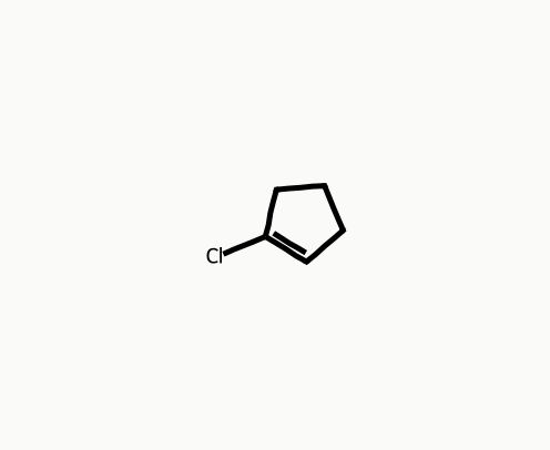 ClC1=CCCC1